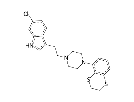 Clc1ccc2c(CCN3CCN(c4cccc5c4SCCS5)CC3)c[nH]c2c1